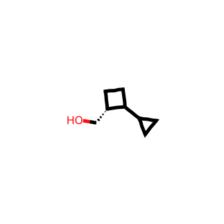 OC[C@@H]1CCC1C1CC1